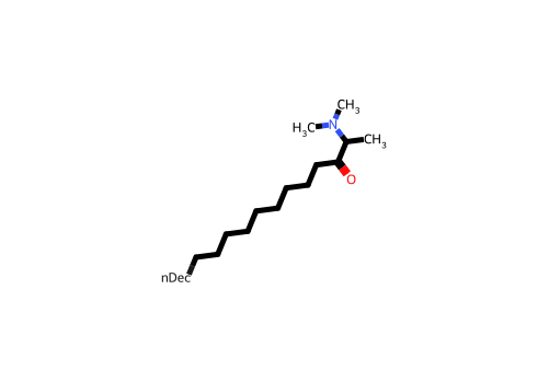 CCCCCCCCCCCCCCCCCCCC(=O)C(C)N(C)C